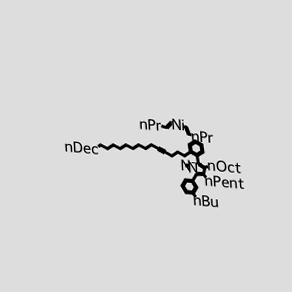 CCCC=[CH][Ni][CH]=CCCC.CCCCCCCCCCCCCCCCCCCC#CCCCc1ccccc1C1=C(CCCCCCCC)C(CCCCC)=C(c2cccc(CCCC)c2)[N+]1=[N-]